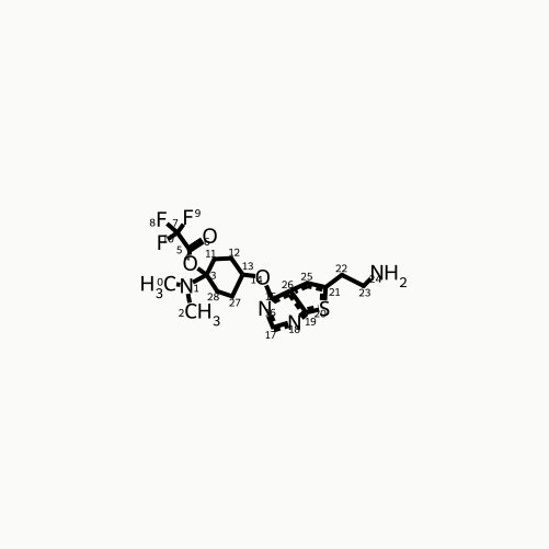 CN(C)C1(OC(=O)C(F)(F)F)CCC(Oc2ncnc3sc(CCN)cc23)CC1